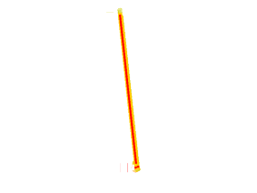 OS(=S)(=S)SSSSSSSSSSSSSSSSSSSSSSSSSSSSSSSSSSSSSSSSSSSSSSSSSSSSSSSSSSSSSSSSSSSSSSSSSSSSSSSSSSSSSSSSSSSSSSSS